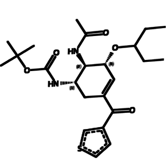 CCC(CC)O[C@@H]1C=C(C(=O)c2ccsc2)C[C@H](NC(=O)OC(C)(C)C)[C@H]1NC(C)=O